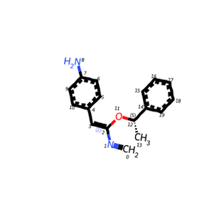 C=N/C(=C/c1ccc(N)cc1)O[C@@H](C)c1ccccc1